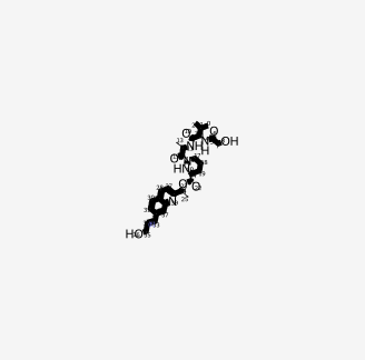 CC(C)[C@H](NC(=O)CO)C(=O)N[C@@H](C)C(=O)N1CCC[C@@H](C(=O)O[C@H](C)c2ccc3ccc(/C=C/CO)cc3n2)N1